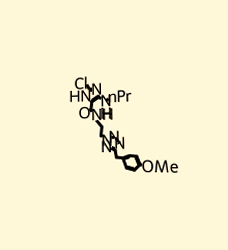 CCCNc1nc(Cl)[nH]c1C(=O)NCCCn1nnc(Cc2ccc(OC)cc2)n1